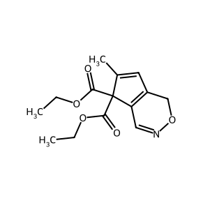 CCOC(=O)C1(C(=O)OCC)C(C)=CC2=C1C=NOC2